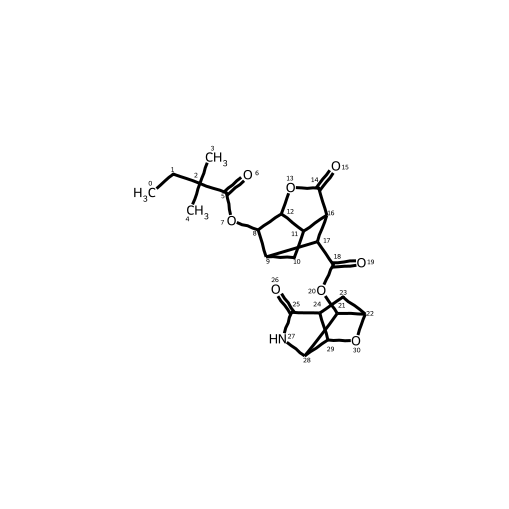 CCC(C)(C)C(=O)OC1C2CC3C1OC(=O)C3C2C(=O)OC1C2CC3C(=O)NC1C3O2